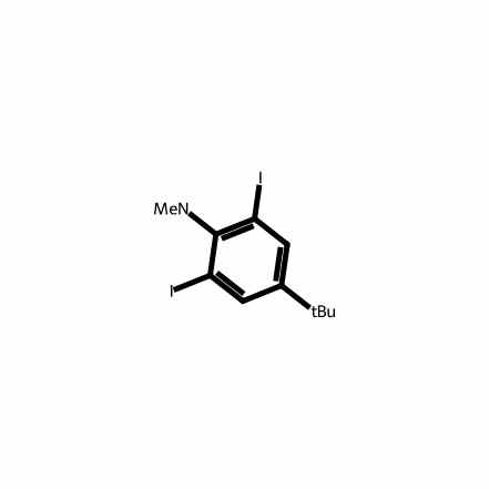 CNc1c(I)cc(C(C)(C)C)cc1I